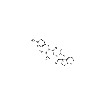 C[C@@H](C1CC1)N(Cc1ccc(O)nc1)C(=O)CN1C(=O)N[C@]2(CCc3ccccc32)C1=O